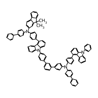 CC1(C)c2ccccc2-c2ccc(N(c3ccc(-c4ccccc4)cc3)c3ccc(-c4cccc5c4c4ccccc4n5-c4ccc(-c5cccc(-c6ccc(N(c7ccc(-c8ccccc8)cc7)c7ccc(-c8cccc9c8c8ccccc8n9-c8ccccc8)cc7)cc6)c5)cc4)cc3)cc21